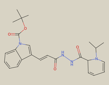 CC(C)N1C=CC=CC1C(=O)NNC(=O)C=Cc1cn(C(=O)OC(C)(C)C)c2ccccc12